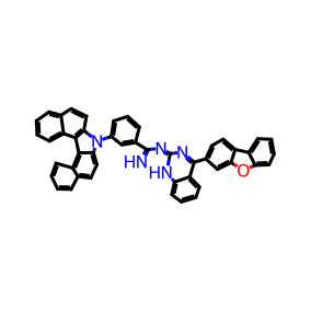 N=C(/N=c1/nc(-c2ccc3c(c2)oc2ccccc23)c2ccccc2[nH]1)c1cccc(-n2c3ccc4ccccc4c3c3c4ccccc4ccc32)c1